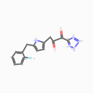 O=C(Cc1ccc(Cc2ccccc2F)[nH]1)C(=O)c1nn[nH]n1